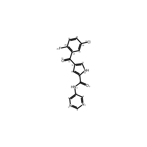 O=C(Nc1cncnc1)c1cc(C(=O)c2cc(Cl)ccc2F)c[nH]1